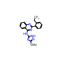 CSc1n[nH]c(Nc2nc(-c3ccccc3CC(F)(F)F)nc3ccccc23)n1